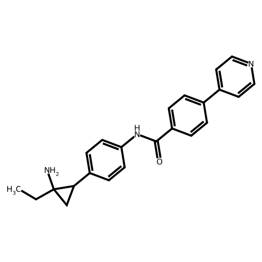 CCC1(N)CC1c1ccc(NC(=O)c2ccc(-c3ccncc3)cc2)cc1